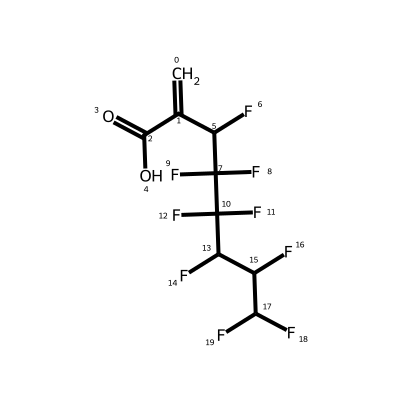 C=C(C(=O)O)C(F)C(F)(F)C(F)(F)C(F)C(F)C(F)F